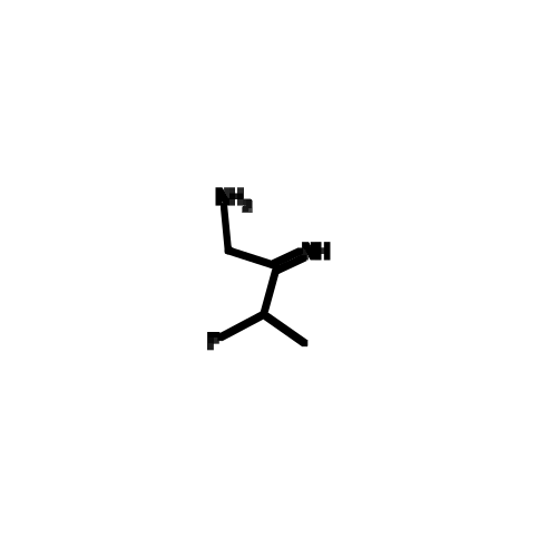 CC(F)C(=N)CN